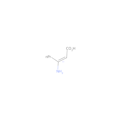 CCC/C(N)=C\C(=O)O